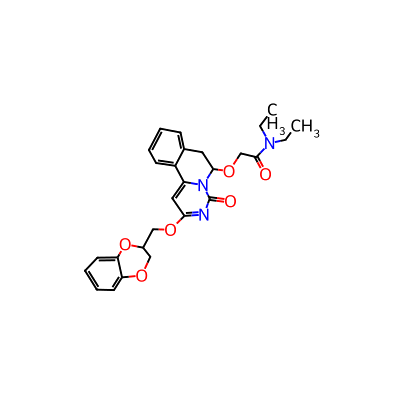 CCN(CC)C(=O)COC1Cc2ccccc2-c2cc(OCC3COc4ccccc4O3)nc(=O)n21